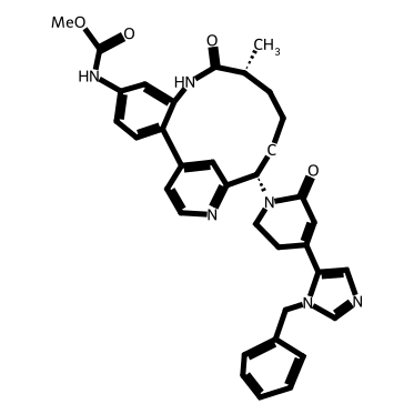 COC(=O)Nc1ccc2c(c1)NC(=O)[C@H](C)CCC[C@H](N1CCC(c3cncn3Cc3ccccc3)=CC1=O)c1cc-2ccn1